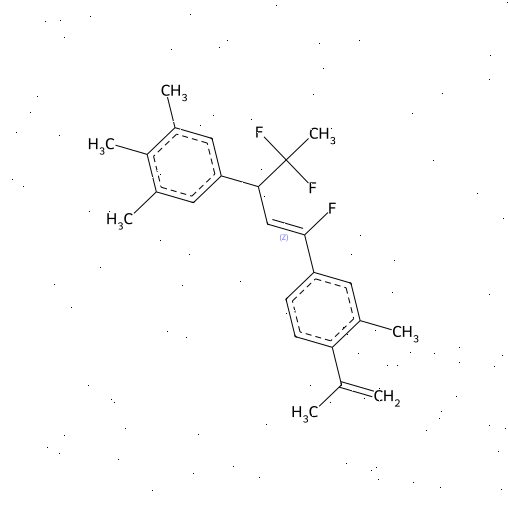 C=C(C)c1ccc(/C(F)=C/C(c2cc(C)c(C)c(C)c2)C(C)(F)F)cc1C